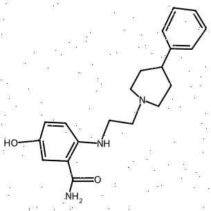 NC(=O)c1cc(O)ccc1NCCN1CCC(c2ccccc2)CC1